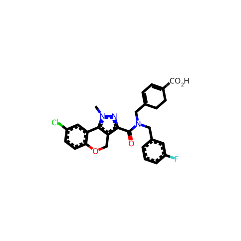 Cn1nc(C(=O)N(CC2=CC=C(C(=O)O)CC2)Cc2cccc(F)c2)c2c1-c1cc(Cl)ccc1OC2